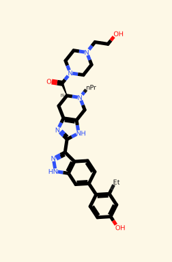 CCCN1Cc2[nH]c(-c3n[nH]c4cc(-c5ccc(O)cc5CC)ccc34)nc2C[C@H]1C(=O)N1CCN(CCO)CC1